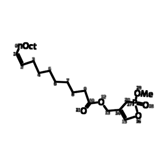 CCCCCCCC/C=C\CCCCCCCC(=O)OCC1=COP(=O)(OC)C1